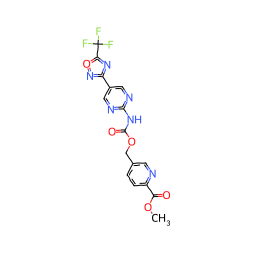 COC(=O)c1ccc(COC(=O)Nc2ncc(-c3noc(C(F)(F)F)n3)cn2)cn1